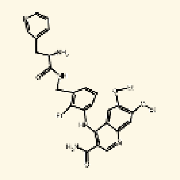 CCOc1cc2ncc(C(N)=O)c(Nc3cccc(CNC(=O)[C@H](N)Cc4cccnc4)c3CC)c2cc1OCC